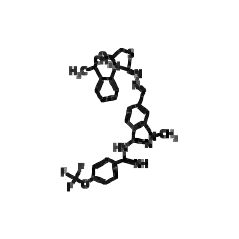 CC(C)c1ccccc1N1C(=O)CS/C1=N/N=C/c1ccc2c(NC(=N)c3ccc(OC(F)(F)F)cc3)nn(C)c2c1